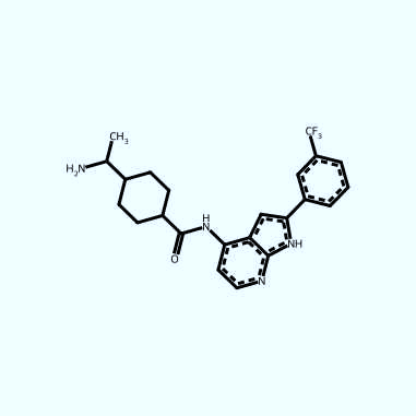 CC(N)C1CCC(C(=O)Nc2ccnc3[nH]c(-c4cccc(C(F)(F)F)c4)cc23)CC1